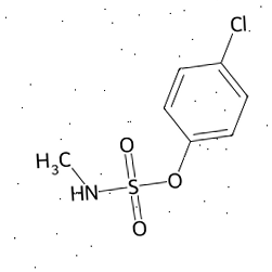 CNS(=O)(=O)Oc1ccc(Cl)cc1